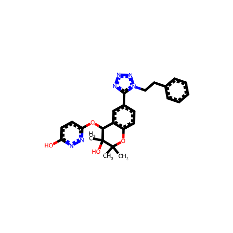 CC1(C)Oc2ccc(-c3nnnn3CCc3ccccc3)cc2C(Oc2ccc(O)nn2)C1(C)O